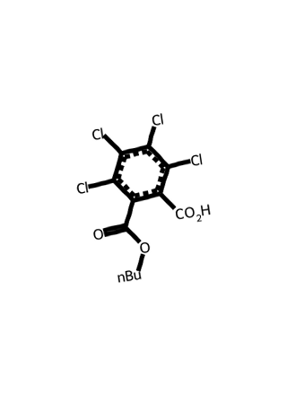 CCCCOC(=O)c1c(Cl)c(Cl)c(Cl)c(Cl)c1C(=O)O